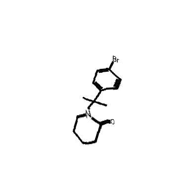 CC(C)(c1ccc(Br)cc1)N1CCCCC1=O